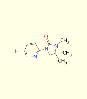 CN1C(=O)N(c2ccc(I)cn2)CC1(C)C